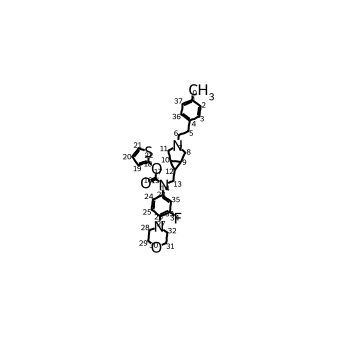 Cc1ccc(CCN2CC3C(C2)C3CN(C(=O)Oc2cccs2)c2ccc(N3CCOCC3)c(F)c2)cc1